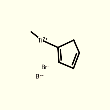 [Br-].[Br-].[CH3][Ti+2][C]1=CC=CC1